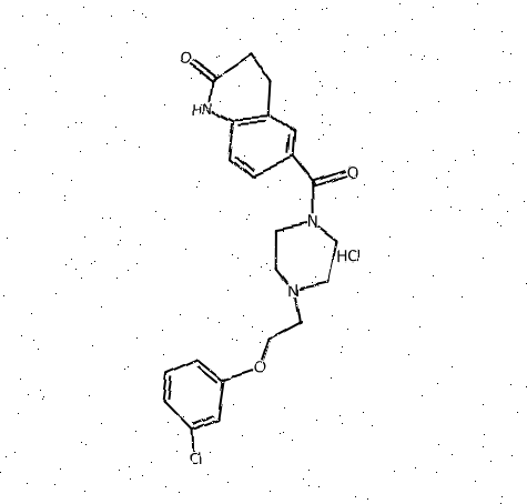 Cl.O=C1CCc2cc(C(=O)N3CCN(CCOc4cccc(Cl)c4)CC3)ccc2N1